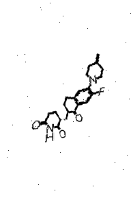 C=C1CCN(c2cc3c(cc2F)C(=O)C(C[C@H]2CCC(=O)NC2=O)CC3)CC1